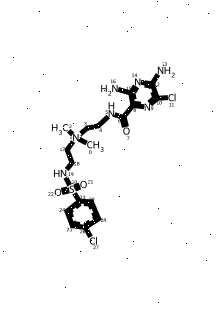 C[N+](C)(CCNC(=O)c1nc(Cl)c(N)nc1N)CCNS(=O)(=O)c1ccc(Cl)cc1